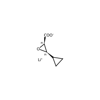 O=C([O-])[C@@H]1O[C@@H]1C1CC1.[Li+]